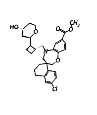 COC(=O)c1ccc2c(c1)N(C[C@@H]1CC[C@H]1[C@H]1C[C@H](O)CCO1)C[C@@]1(CCCc3cc(Cl)ccc31)CO2